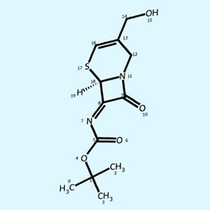 CC(C)(C)OC(=O)/N=C1\C(=O)N2CC(CO)=CS[C@H]12